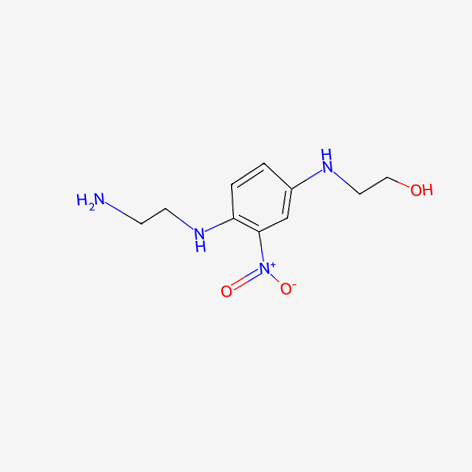 NCCNc1ccc(NCCO)cc1[N+](=O)[O-]